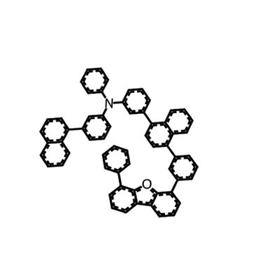 c1ccc(-c2cccc3c2oc2c(-c4cccc(-c5ccc(-c6cccc(N(c7ccccc7)c7cccc(-c8cccc9ccccc89)c7)c6)c6ccccc56)c4)cccc23)cc1